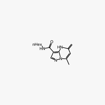 C=C1C=C(C)n2ncc(C(=O)NCCCCCC)c2N1